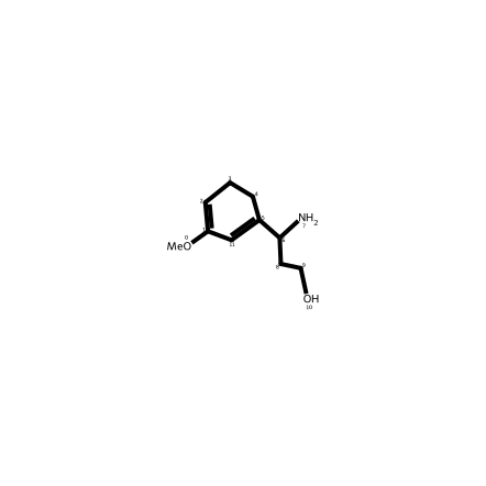 COC1=CCCC(C(N)CCO)=C1